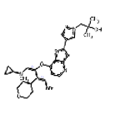 CCC/C=C(/C(=C\N(C)C1CC1)Oc1ccnc2cc(-c3cnn(CC(C)(C)O)c3)sc12)C1CCOCC1